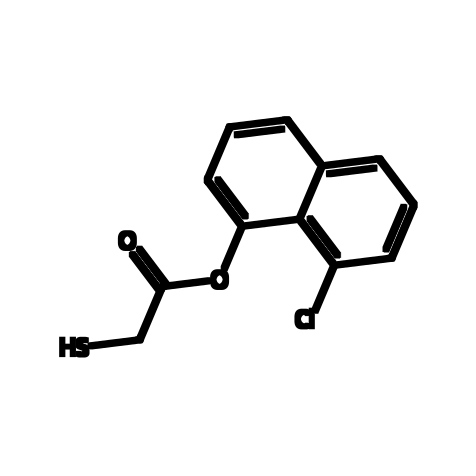 O=C(CS)Oc1cccc2cccc(Cl)c12